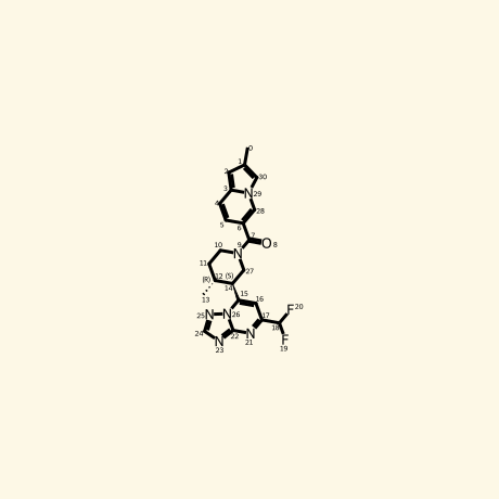 Cc1cc2ccc(C(=O)N3CC[C@@H](C)[C@H](c4cc(C(F)F)nc5ncnn45)C3)cn2c1